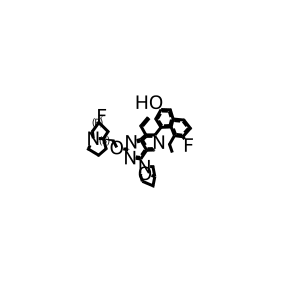 C=Cc1c(-c2cc(O)cc3ccc(F)c(CC)c23)ncc2c(N3CC4CC(C3)O4)nc(OC[C@@]34CCCN3C[C@H](F)C4)nc12